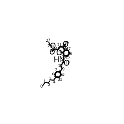 CCCCCc1ccc(C=CC(=O)Nc2cccc3c(=O)cc(C(=O)OCC)oc23)cc1